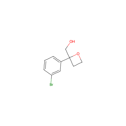 OCC1(c2cccc(Br)c2)CCO1